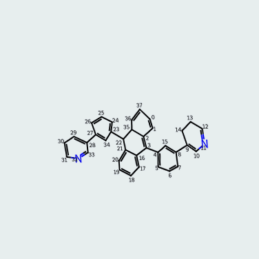 C1=CC2=C(c3cccc(C4=CN=CCC4)c3)c3ccccc3C(c3cccc(-c4cccnc4)c3)C2C=C1